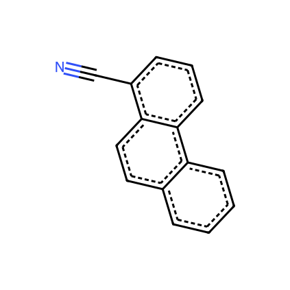 N#Cc1cccc2c1ccc1ccccc12